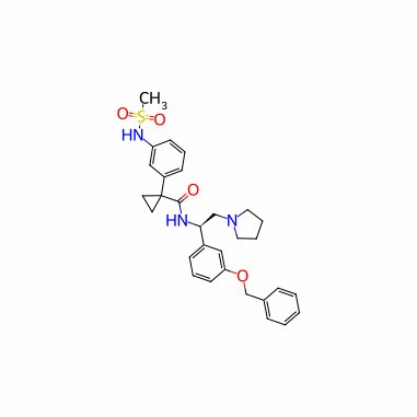 CS(=O)(=O)Nc1cccc(C2(C(=O)N[C@@H](CN3CCCC3)c3cccc(OCc4ccccc4)c3)CC2)c1